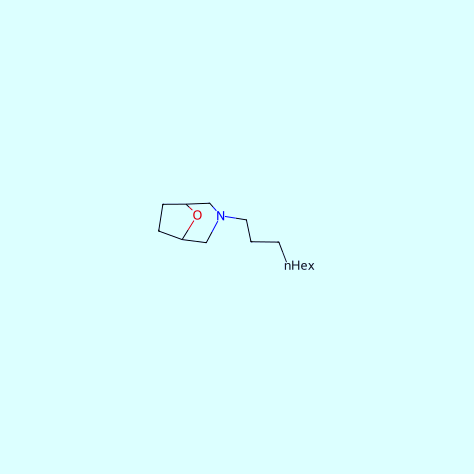 CCCCCCCCCN1CC2CCC(C1)O2